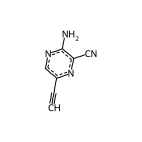 C#Cc1cnc(N)c(C#N)n1